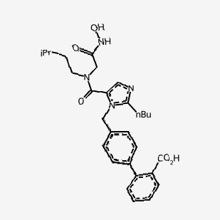 CCCCc1ncc(C(=O)N(CCC(C)C)CC(=O)NO)n1Cc1ccc(-c2ccccc2C(=O)O)cc1